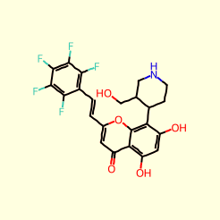 O=c1cc(C=Cc2c(F)c(F)c(F)c(F)c2F)oc2c(C3CCNCC3CO)c(O)cc(O)c12